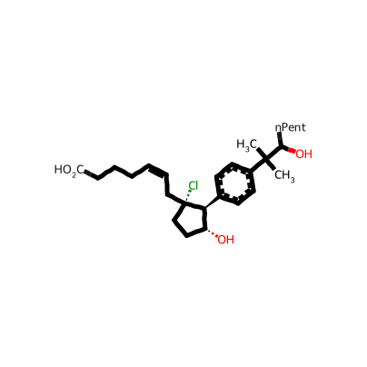 CCCCCC(O)C(C)(C)c1ccc([C@H]2[C@H](O)CC[C@@]2(Cl)C/C=C\CCCC(=O)O)cc1